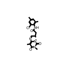 Cc1cc(C)c(NC(=O)CC(C)/C=N\c2c(C)c(=O)n(C)c(=O)n2C)c(Cl)c1